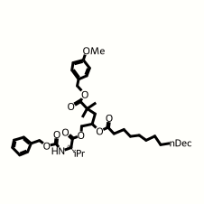 CCCCCCCCCCCCCCCCCC(=O)OC(COC(=O)[C@@H](NC(=O)OCc1ccccc1)C(C)C)CC(C)(C)C(=O)OCc1ccc(OC)cc1